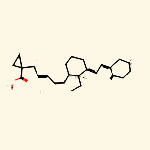 C=C1/C(=C\C=C2/CCC[C@]3(C)[C@@H]([C@H](C)/C=C/[C@@H](O)C4(C(=O)OCCC)CC4)CC[C@@H]23)C[C@@H](O)C[C@@H]1O